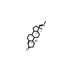 C/N=C/[C@@]1(F)CCC2C3CCC4=CC(=O)CC[C@@H]4C3CC[C@@]21C